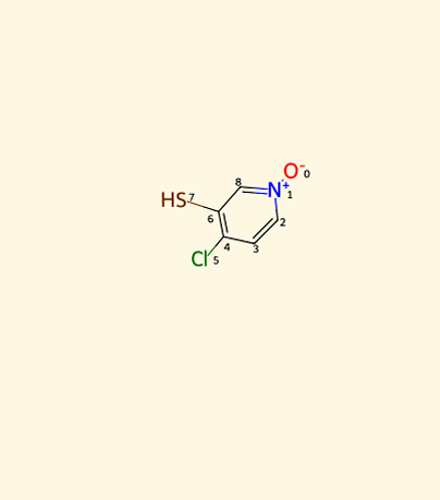 [O-][n+]1ccc(Cl)c(S)c1